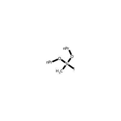 CCCO[Si](C)(I)OCCC